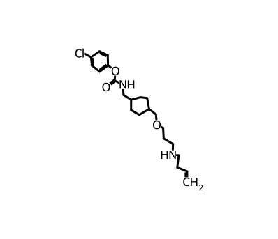 C=CCCNCCCOCC1CCC(CNC(=O)Oc2ccc(Cl)cc2)CC1